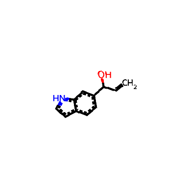 C=CC(O)c1ccc2cc[nH]c2c1